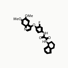 COc1cc2nccc(Oc3ccc(NC(=O)C(=O)NC4CCCc5ccccc54)cc3F)c2cc1OC